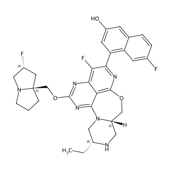 CC[C@@H]1CN2c3nc(OC[C@@]45CCCN4C[C@H](F)C5)nc4c(F)c(-c5cc(O)cc6ccc(F)cc56)nc(c34)OC[C@@H]2CN1